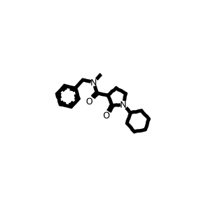 CN(Cc1ccccc1)C(=O)C1CCN(C2CCCCC2)C1=O